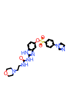 O=C(NCCN1CCOCC1)Nc1nc2cc(OS(=O)(=O)c3ccc(-n4ccnc4)cc3)ccc2[nH]1